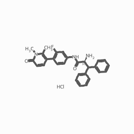 Cc1c(-c2ccc(NC(=O)[C@@H](N)C(c3ccccc3)c3ccccc3)cc2F)ccc(=O)n1C.Cl